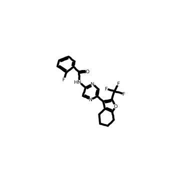 O=C(Nc1cnc(-c2c(C(F)(F)F)oc3c2CCCC3)cn1)c1ccccc1F